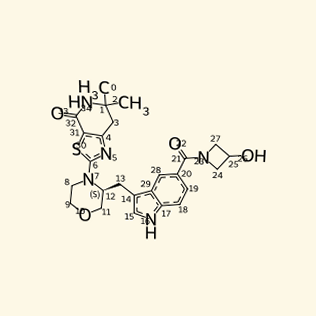 CC1(C)Cc2nc(N3CCOC[C@@H]3Cc3c[nH]c4ccc(C(=O)N5CC(O)C5)cc34)sc2C(=O)N1